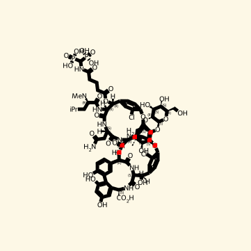 CN[C@H](CC(C)C)C(=O)N[C@H]1C(=O)N[C@@H](CC(N)=O)C(=O)N[C@H]2C(=O)N[C@H]3C(=O)N[C@H](C(=O)N[C@H](C(=O)O)c4cc(O)cc(O)c4-c4cc3ccc4O)[C@H](O)c3ccc(c(Cl)c3)Oc3cc2cc(c3O[C@@H]2O[C@H](CO)[C@@H](O)[C@H](O)[C@H]2O[C@H]2C[C@](C)(N)[C@H](O)[C@H](C)O2)Oc2ccc(cc2Cl)[C@H]1OC(=O)CCCC(=O)NC(P(=O)(O)O)P(=O)(O)O